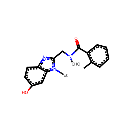 CCn1c(CN(C=O)C(=O)c2ccccc2C)nc2ccc(O)cc21